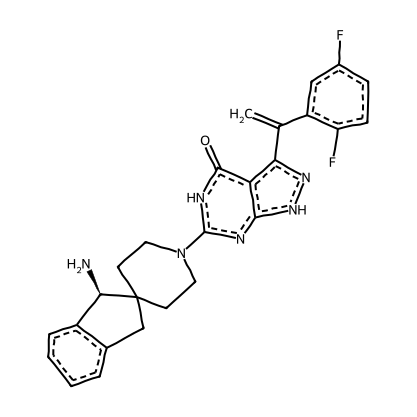 C=C(c1cc(F)ccc1F)c1n[nH]c2nc(N3CCC4(CC3)Cc3ccccc3[C@H]4N)[nH]c(=O)c12